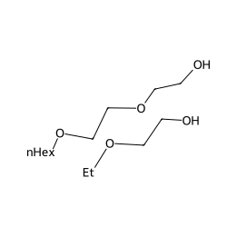 CCCCCCOCCOCCO.CCOCCO